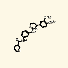 COc1ccc(-c2ccnc(Nc3cccc(NC(=O)c4cccnc4)c3)n2)cc1OC